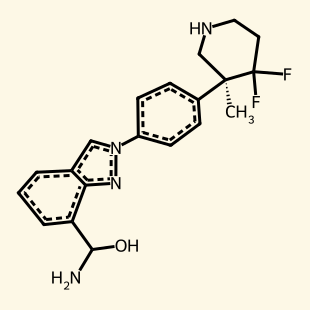 C[C@]1(c2ccc(-n3cc4cccc(C(N)O)c4n3)cc2)CNCCC1(F)F